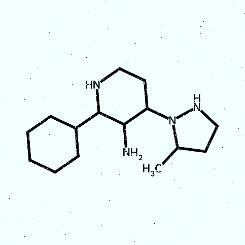 CC1CCNN1C1CCNC(C2CCCCC2)C1N